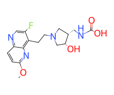 COc1ccc2ncc(F)c(CCN3C[C@H](CNC(=O)O)[C@H](O)C3)c2n1